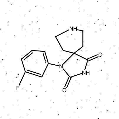 O=C1NC(=O)C2(CCNCC2)N1c1cccc(F)c1